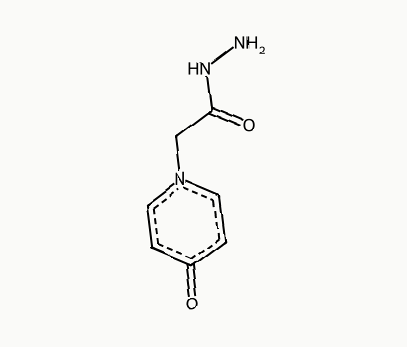 NNC(=O)Cn1ccc(=O)cc1